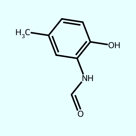 Cc1ccc(O)c(NC=O)c1